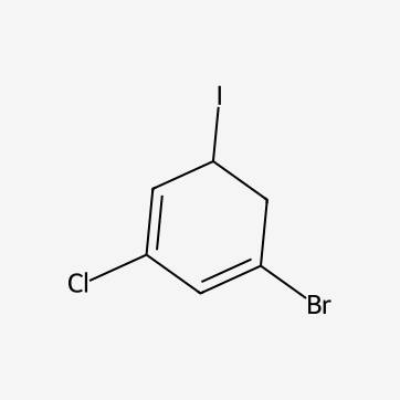 ClC1=CC(I)CC(Br)=C1